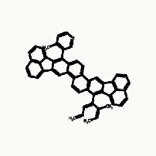 C=N/C=C(\C(C)=C/C)c1c2c(cc3c1ccc1c4cc5c(c(-c6cnccc6C)c4ccc31)-c1cccc3cccc-5c13)-c1cccc3cccc-2c13